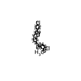 COc1cc(C(=O)NCC2CCN(Cc3cc(-c4ccc(Cl)cc4)no3)CC2)ccc1Cl